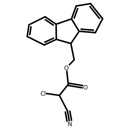 N#CC(Cl)C(=O)OCC1c2ccccc2-c2ccccc21